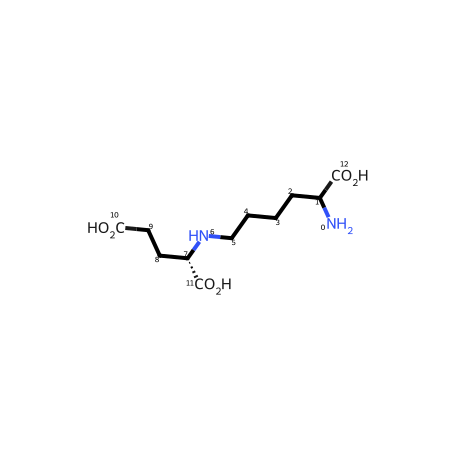 NC(CCCCN[C@@H](CCC(=O)O)C(=O)O)C(=O)O